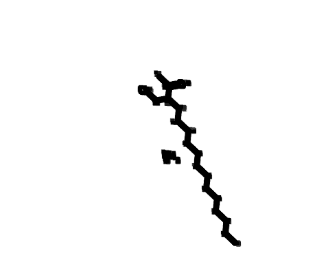 CCCCCCCCCCCCCC(CCl)C(C)=O.N